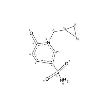 NS(=O)(=O)c1ccc(=O)n(CC2CC2)c1